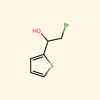 OC(CBr)c1cccs1